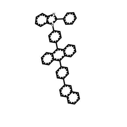 c1ccc(-c2nc3ccccc3n2-c2ccc(-c3c4ccccc4c(-c4ccc(-c5ccc6ccccc6c5)cc4)c4ccccc34)cc2)cc1